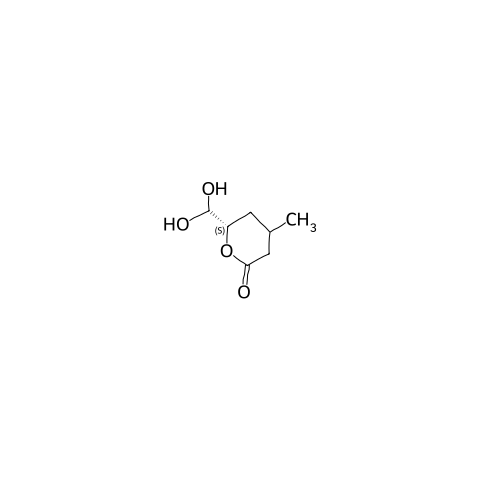 CC1CC(=O)O[C@H](C(O)O)C1